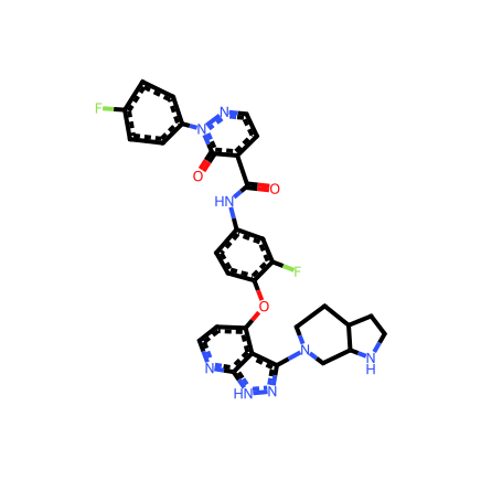 O=C(Nc1ccc(Oc2ccnc3[nH]nc(N4CCC5CCNC5C4)c23)c(F)c1)c1ccnn(-c2ccc(F)cc2)c1=O